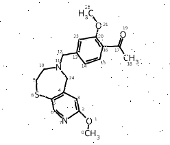 COc1cc2c(cn1)SCCN(Cc1ccc(C(C)=O)c(OC)c1)C2